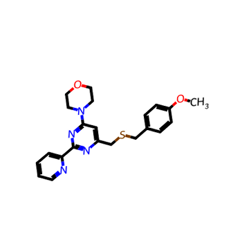 COc1ccc(CSCc2cc(N3CCOCC3)nc(-c3ccccn3)n2)cc1